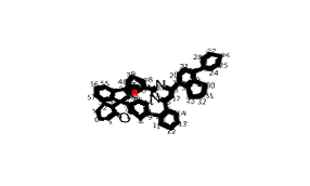 C1=CCC2C(=C1)Oc1cc(-c3ccccc3-c3cc(-c4ccc(-c5ccccc5)c5ccccc45)nc(-c4ccccc4)n3)ccc1C21c2ccccc2-c2ccccc21